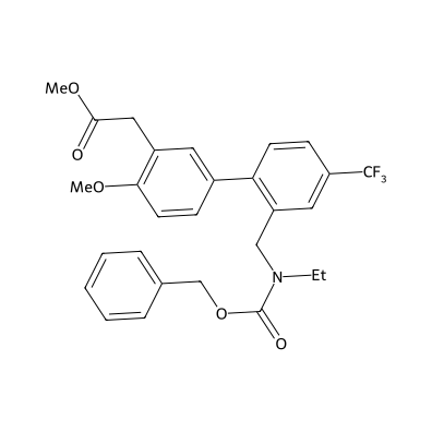 CCN(Cc1cc(C(F)(F)F)ccc1-c1ccc(OC)c(CC(=O)OC)c1)C(=O)OCc1ccccc1